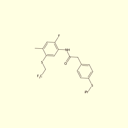 Cc1cc(F)c(NC(=O)Cc2ccc(SC(C)C)cc2)cc1SCC(F)(F)F